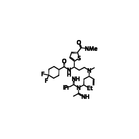 C=CC(CC(CC)N(C(C)=N)C(=N)C(C)C)N(C)CCC(NC(=O)C1CCC(F)(F)CC1)c1ccc(C(=O)NC)s1